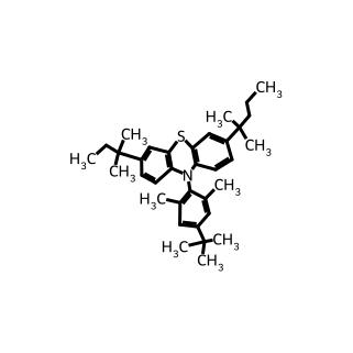 CCCC(C)(C)c1ccc2c(c1)Sc1cc(C(C)(C)CC)ccc1N2c1c(C)cc(C(C)(C)C)cc1C